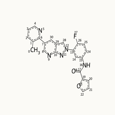 Cc1cccnc1-c1cnc2nn(-c3cc(NC(=O)c4ccco4)ccc3F)cc2c1